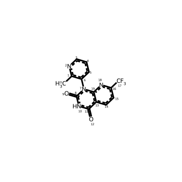 Cc1ncccc1-n1c(=O)[nH]c(=O)c2ccc(C(F)(F)F)nc21